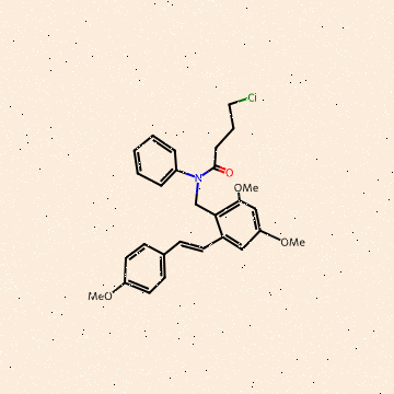 COc1ccc(C=Cc2cc(OC)cc(OC)c2CN(C(=O)CCCCl)c2ccccc2)cc1